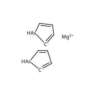 [C-]1=CC=C[AsH]1.[C-]1=CC=C[AsH]1.[Mg+2]